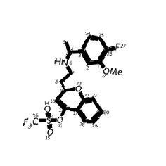 COc1cc(C(C)NCC[C@@H]2C=C(OS(=O)(=O)C(F)(F)F)c3ccccc3O2)ccc1F